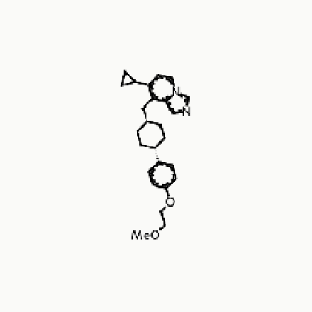 COCCOc1ccc([C@H]2CC[C@H](Cc3c(C4CC4)ccn4cncc34)CC2)cc1